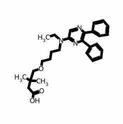 CCN(CCCCOCC(C)(C)CC(=O)O)c1cnc(-c2ccccc2)c(-c2ccccc2)n1